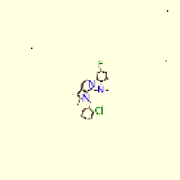 Cc1c(C)n(Cc2ccccc2Cl)c2c(CN(C)c3ccc(F)cc3)nccc12